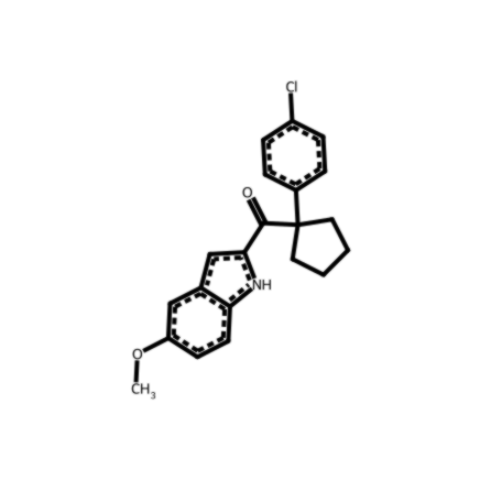 COc1ccc2[nH]c(C(=O)C3(c4ccc(Cl)cc4)CCCC3)cc2c1